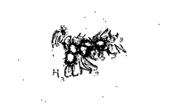 CC1(C)CC[C@]2(CC(=O)NCC(F)F)CC[C@]3(C)C(C(=O)C=C4[C@@]5(C)C=C(C#N)C(=O)C(C)(C)[C@@H]5CC[C@]43C)C2C1